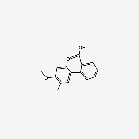 COc1ccc(-c2ccccc2C(=O)O)cc1I